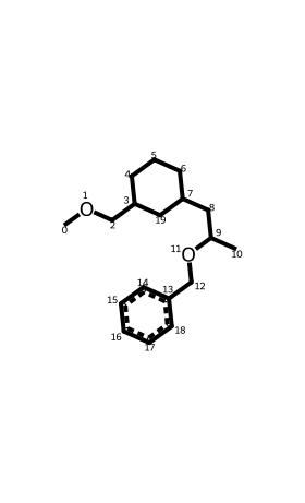 COCC1CCCC(CC(C)OCc2ccccc2)C1